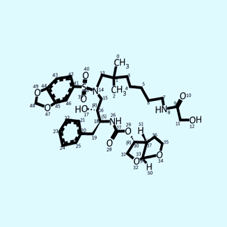 CC(C)(CCCCCNC(=O)CO)CN(C[C@@H](O)[C@H](Cc1ccccc1)NC(=O)O[C@H]1CO[C@H]2OCC[C@H]21)S(=O)(=O)c1ccc2c(c1)OCO2